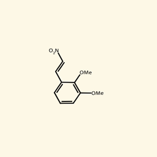 COc1cccc(C=C[N+](=O)[O-])c1OC